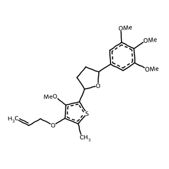 C=CCOc1c(C)sc(C2CCC(c3cc(OC)c(OC)c(OC)c3)O2)c1OC